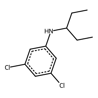 CCC(CC)Nc1cc(Cl)cc(Cl)c1